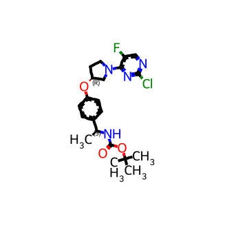 C[C@H](NC(=O)OC(C)(C)C)c1ccc(O[C@@H]2CCN(c3nc(Cl)ncc3F)C2)cc1